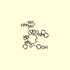 N=C(N)NCCCC1NC(=O)C(Cc2ccccc2)NC(=O)C(Cc2ccc(O)cc2)CCCC(C(=O)Nc2cccc3ccccc23)NC1=O